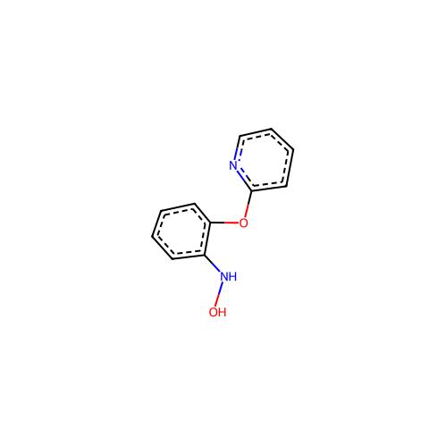 ONc1ccccc1Oc1ccccn1